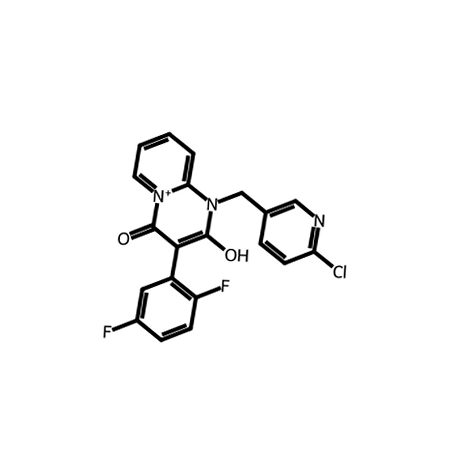 O=c1c(-c2cc(F)ccc2F)c(O)n(Cc2ccc(Cl)nc2)c2cccc[n+]12